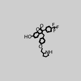 O=c1oc2cc(O)ccc2c(Cc2ccc(OCCC3CCCN3)cc2)c1-c1ccc(C(F)(F)F)cc1